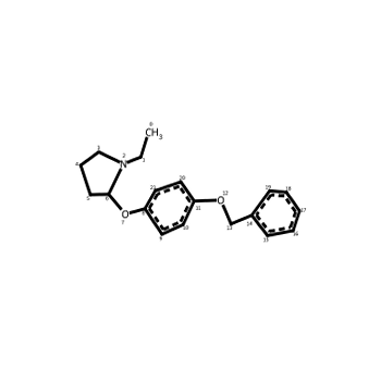 CCN1CCCC1Oc1ccc(OCc2ccccc2)cc1